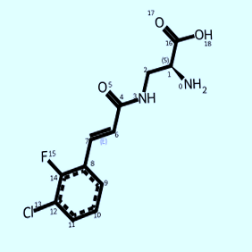 N[C@@H](CNC(=O)/C=C/c1cccc(Cl)c1F)C(=O)O